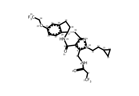 O=C(CC(F)(F)F)NCc1c2c(nn1CCC1CC1)C[C@]1(CCc3cc(OCC(F)(F)F)ccc31)NC2=O